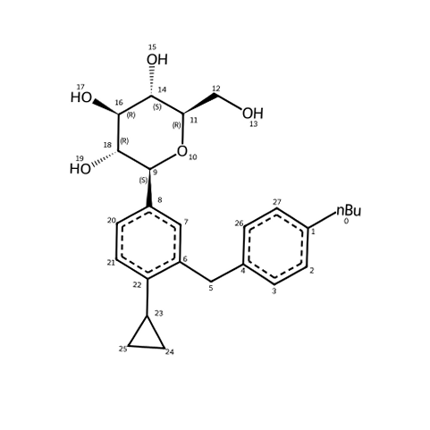 CCCCc1ccc(Cc2cc([C@@H]3O[C@H](CO)[C@@H](O)[C@H](O)[C@H]3O)ccc2C2CC2)cc1